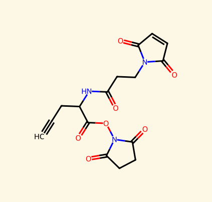 C#CCC(NC(=O)CCN1C(=O)C=CC1=O)C(=O)ON1C(=O)CCC1=O